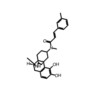 Cc1cccc(/C=C/C(=O)N(C)C2CC[C@H]3[C@H]4Cc5ccc(O)c(O)c5[C@@]3(CCN4C)C2)c1